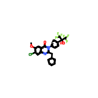 COc1cc2c(=O)n(-c3ccc(C(O)(C(F)(F)F)C(F)(F)F)cc3)c(Cc3ccccc3)nc2cc1Cl